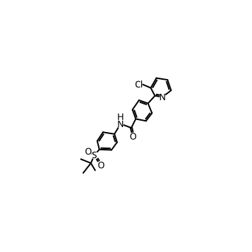 CC(C)(C)S(=O)(=O)c1ccc(NC(=O)c2ccc(-c3ncccc3Cl)cc2)cc1